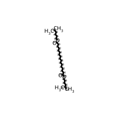 CC(C)CCCCOC(=O)CCCCCCCCCCCCCCCC(=O)OCCCCC(C)C